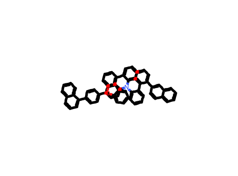 c1ccc(-c2ccccc2N(c2ccc(-c3ccc(-c4cccc5ccccc45)cc3)cc2)c2ccccc2-c2cccc3oc4ccccc4c23)c(-c2ccc3ccccc3c2)c1